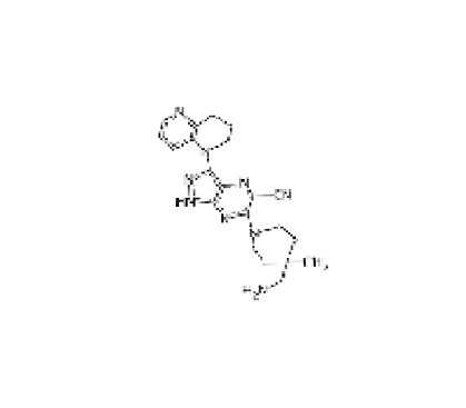 CC1(CN)CCN(c2nc3[nH]nc(N4CCCc5ncccc54)c3nc2C#N)CC1